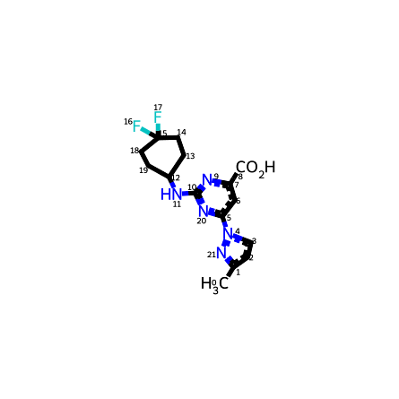 Cc1ccn(-c2cc(C(=O)O)nc(NC3CCC(F)(F)CC3)n2)n1